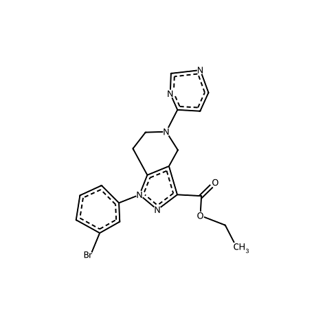 CCOC(=O)c1nn(-c2cccc(Br)c2)c2c1CN(c1ccncn1)CC2